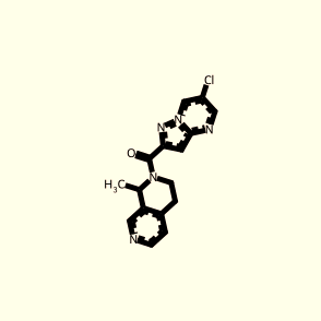 CC1c2cnccc2CCN1C(=O)c1cc2ncc(Cl)cn2n1